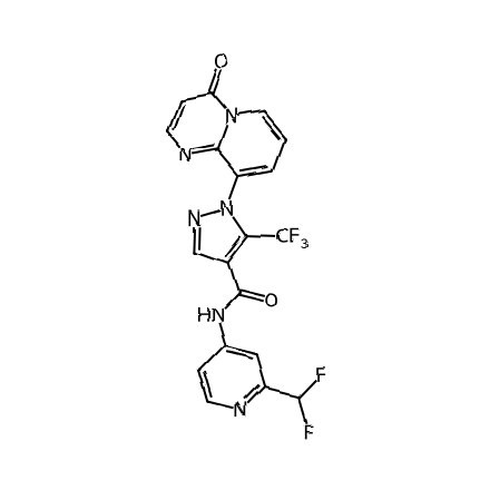 O=C(Nc1ccnc(C(F)F)c1)c1cnn(-c2cccn3c(=O)ccnc23)c1C(F)(F)F